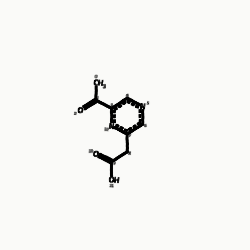 CC(=O)c1cncc(CC(=O)O)n1